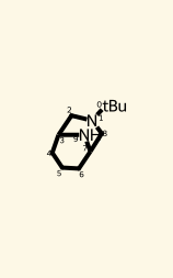 CC(C)(C)N1CC2CCCC(C1)N2